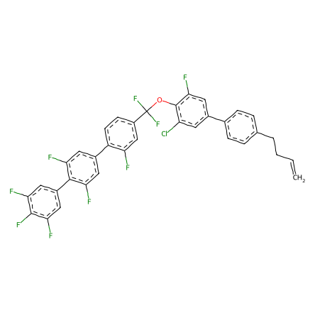 C=CCCc1ccc(-c2cc(F)c(OC(F)(F)c3ccc(-c4cc(F)c(-c5cc(F)c(F)c(F)c5)c(F)c4)c(F)c3)c(Cl)c2)cc1